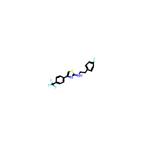 Fc1ccc(CCNc2nc(-c3ccc(C(F)(F)F)cc3)cs2)cc1